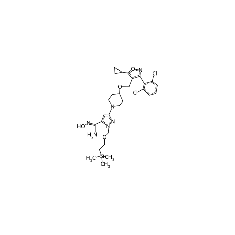 C[Si](C)(C)CCOCn1nc(N2CCC(OCc3c(-c4c(Cl)cccc4Cl)noc3C3CC3)CC2)cc1/C(N)=N/O